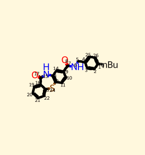 CCCCc1ccc(CNC(=O)c2ccc3c(c2)NC(=O)c2ccccc2S3)cc1